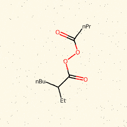 CCCCC(CC)C(=O)OOC(=O)CCC